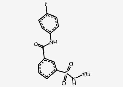 CC(C)(C)NS(=O)(=O)c1cccc(C(=O)Nc2ccc(F)cc2)c1